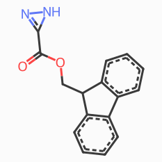 O=C(OCC1c2ccccc2-c2ccccc21)C1=NN1